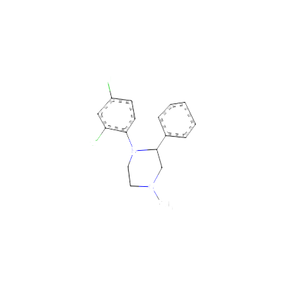 CN1CCN(c2ccc(Cl)cc2Cl)C(c2ccccc2)C1